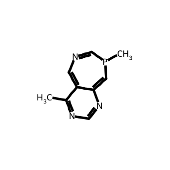 Cc1ncnc2c1=CN=CP(C)C=2